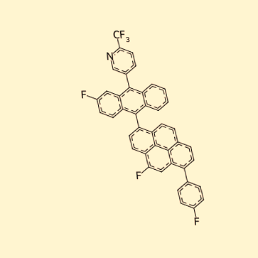 Fc1ccc(-c2ccc3ccc4c(-c5c6ccccc6c(-c6ccc(C(F)(F)F)nc6)c6cc(F)ccc56)ccc5c(F)cc2c3c54)cc1